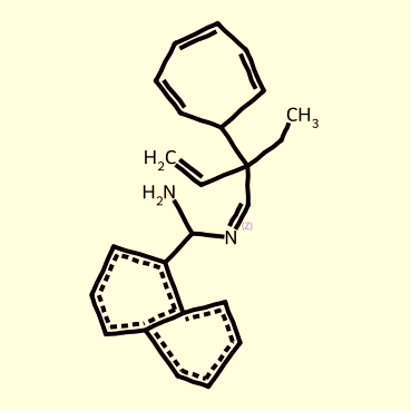 C=CC(/C=N\C(N)c1cccc2ccccc12)(CC)C1C=CC=CC=C1